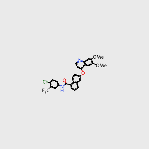 COc1cc2nccc(Oc3ccc4c(C(=O)Nc5ccc(Cl)c(C(F)(F)F)c5)cccc4c3)c2cc1OC